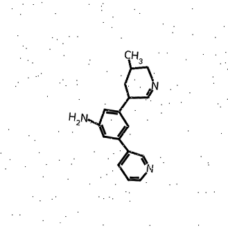 CC1CN=CC(c2cc(N)cc(-c3cccnc3)c2)C1